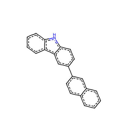 c1ccc2cc(-c3ccc4[nH]c5ccccc5c4c3)ccc2c1